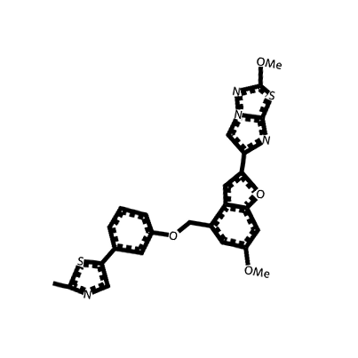 COc1cc(COc2cccc(-c3cnc(C)s3)c2)c2cc(-c3cn4nc(OC)sc4n3)oc2c1